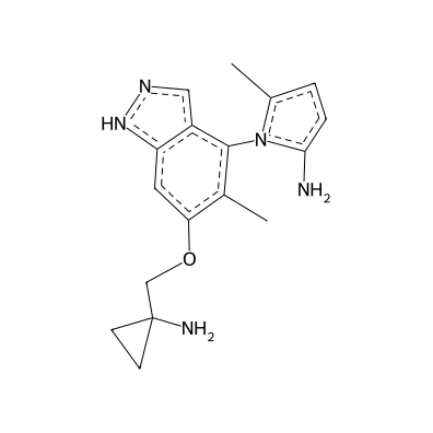 Cc1c(OCC2(N)CC2)cc2[nH]ncc2c1-n1c(C)ccc1N